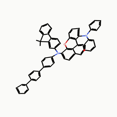 CC1(C)c2ccccc2-c2ccc(N(c3ccc(-c4ccc(-c5ccccc5)cc4)cc3)c3ccc4cccc5c4c3Oc3cccc(N(c4ccccc4)c4ccccc4)c3-5)cc21